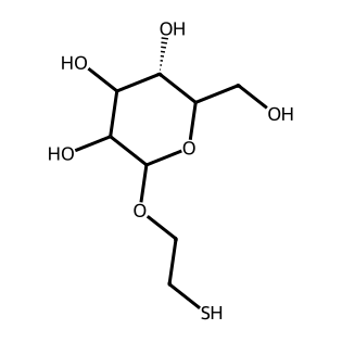 OCC1OC(OCCS)C(O)C(O)[C@@H]1O